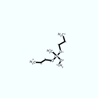 CCCO[Si](C)(OC)OCCC